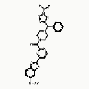 CC(=O)Nc1ccc2oc(-c3ccnc(C(=O)N4CCN(C(c5ccccc5)c5nnn(C(F)F)n5)CC4)n3)nc2c1